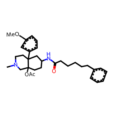 COc1cccc(C23CCN(C)CC2(OC(C)=O)CCC(NC(=O)CCCCCc2ccccc2)C3)c1